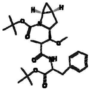 COC(C(C)C(=O)NC(Cc1ccccc1)C(=O)OC(C)(C)C)[C@@H]1C[C@@H]2C[C@@H]2N1C(=O)OC(C)(C)C